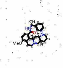 COc1ccc(C(=O)NC(C)c2ccccc2)c2c1CCN1C[C@H]3CCCN[C@H]3C[C@@H]21